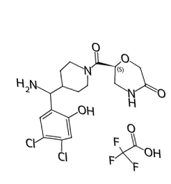 NC(c1cc(Cl)c(Cl)cc1O)C1CCN(C(=O)[C@@H]2CNC(=O)CO2)CC1.O=C(O)C(F)(F)F